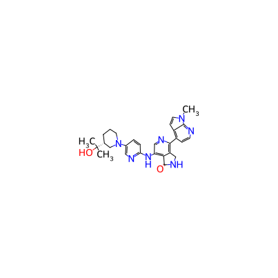 Cn1ccc2c(-c3ncc(Nc4ccc(N5CCC[C@@H](C(C)(C)O)C5)cn4)c4c3CNC4=O)ccnc21